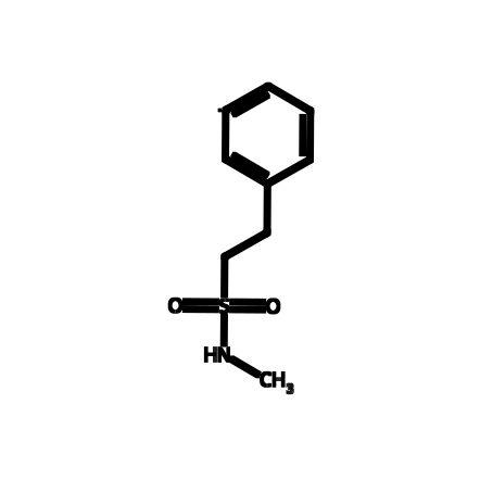 CNS(=O)(=O)CCc1c[c]ccc1